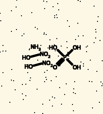 N.O=P(O)(O)O.O=[N+]([O-])O.O=[N+]([O-])O